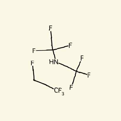 FC(F)(F)NC(F)(F)F.FCC(F)(F)F